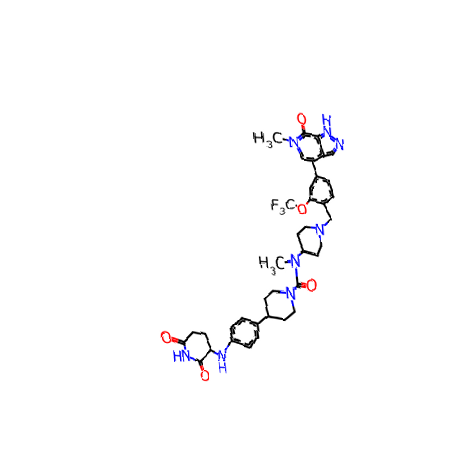 CN(C(=O)N1CCC(c2ccc(NC3CCC(=O)NC3=O)cc2)CC1)C1CCN(Cc2ccc(-c3cn(C)c(=O)c4[nH]ncc34)cc2OC(F)(F)F)CC1